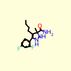 CCCCC1=C(c2ccc(F)cc2F)NNC1(C)C(N)=O